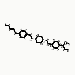 CCC=CCc1ccc(CC[C@H]2CC[C@H](CCc3ccc(C(CC)OC)cc3)CC2)cc1